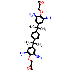 CC(C)(c1ccc(C(C)(C)c2cc(N)c(OCC3CO3)c(N)c2)cc1)c1cc(N)c(OCC2CO2)c(N)c1